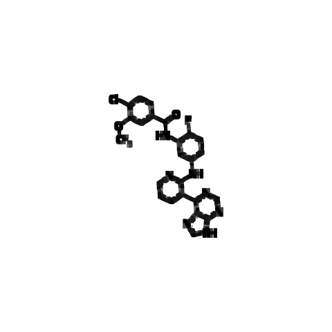 O=C(Nc1cc(Nc2ncccc2-c2ncnc3[nH]cnc23)ccc1F)c1ccc(Cl)c(OC(F)(F)F)c1